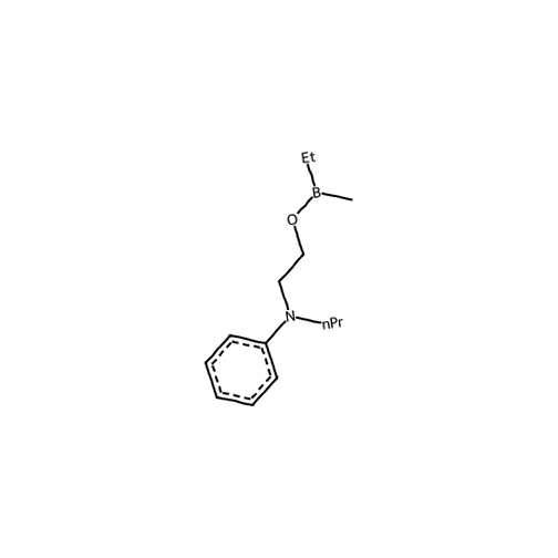 CCCN(CCOB(C)CC)c1ccccc1